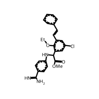 [CH2]COc1c(C=Cc2ccccc2)cc(Cl)cc1C(Nc1ccc(C(=N)N)cc1)C(=O)OC